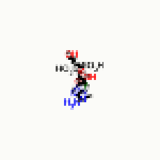 Cc1nc(N)c2ncn([C@@H]3O[C@H](COC(CCCCO)(C(=O)O)C(=O)O)[C@@H](O)[C@@H]3F)c2n1